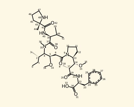 CC[C@H](C)C([C@@H](CC(=O)N1CCC[C@H]1[C@H](OC)[C@@H](C)C(=O)N[C@@H](Cc1ccccc1)C(=O)O)OC)N(C)C(=O)[C@@H](NC(=O)[C@]1(C)CCCN1)C(C)C